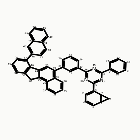 C1=CC2CC2C(c2nc(-c3ccccc3)nc(-c3cccc(-c4cc5c(c6ccccc46)Cc4cccc(-c6ccc7ccccc7c6)c4-5)c3)n2)=C1